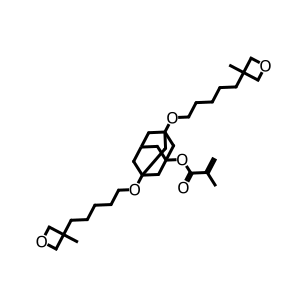 C=C(C)C(=O)OC12CC3CC(OCCCCCC4(C)COC4)(CC(OCCCCCC4(C)COC4)(C3)C1)C2